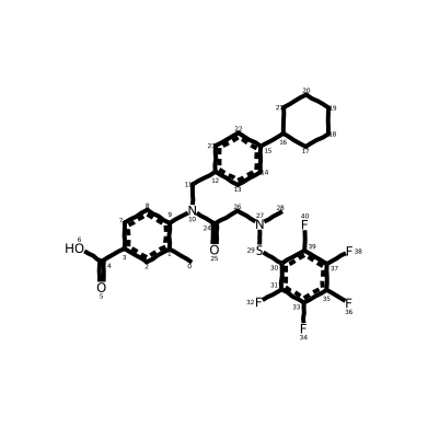 Cc1cc(C(=O)O)ccc1N(Cc1ccc(C2CCCCC2)cc1)C(=O)CN(C)Sc1c(F)c(F)c(F)c(F)c1F